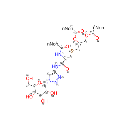 CCCCCCCCCC(=O)N[C@H](CSC[C@@H](COC(=O)CCCCCCCCC)OC(=O)CCCCCCCCC)C(=O)Nc1cn([C@H]2OC(CO)C(O)C(O)C2O)nn1